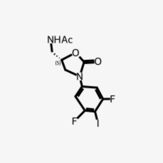 CC(=O)NC[C@H]1CN(c2cc(F)c(I)c(F)c2)C(=O)O1